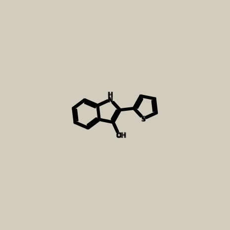 Oc1c(-c2cccs2)[nH]c2ccccc12